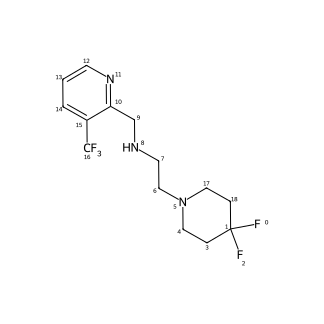 FC1(F)CCN(CCNCc2ncccc2C(F)(F)F)CC1